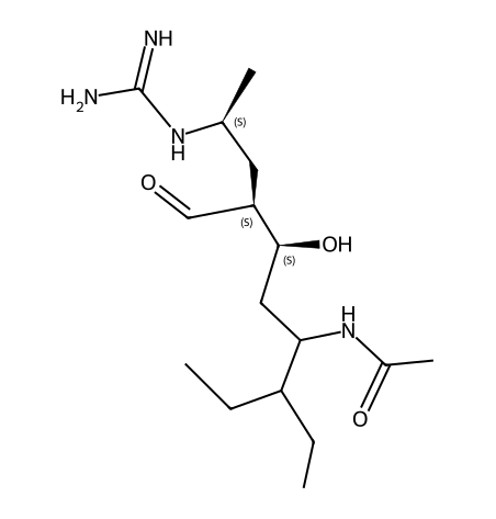 CCC(CC)C(C[C@H](O)[C@@H](C=O)C[C@H](C)NC(=N)N)NC(C)=O